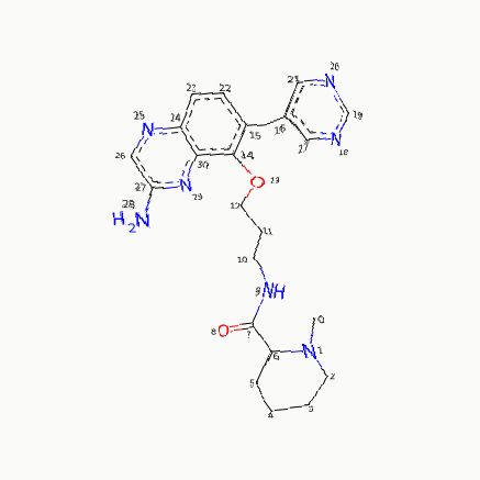 CN1CCCCC1C(=O)NCCCOc1c(-c2cncnc2)ccc2ncc(N)nc12